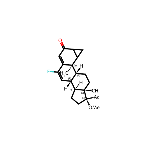 CO[C@@]1(C(C)=O)CC[C@H]2[C@@H]3C=C(F)C4=CC(=O)C5CC5[C@@]4(C)[C@@H]3CC[C@@]21C